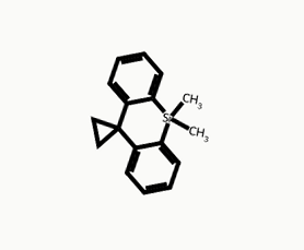 C[Si]1(C)c2ccccc2C2(CC2)c2ccccc21